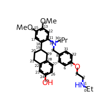 CCNCCOc1ccc(CN(c2cc(OC)c(OC)cc2C2CCc3cc(O)ccc3C2)C(C)C)cc1